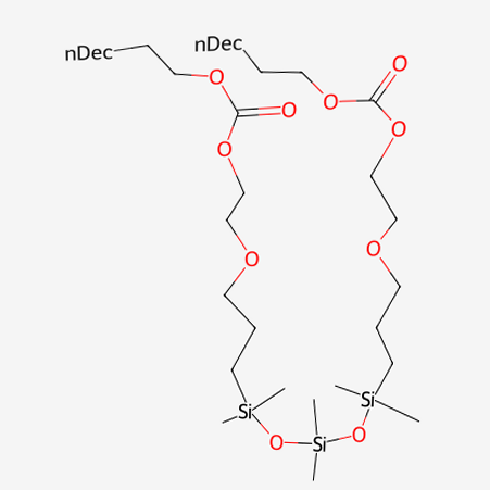 CCCCCCCCCCCCOC(=O)OCCOCCC[Si](C)(C)O[Si](C)(C)O[Si](C)(C)CCCOCCOC(=O)OCCCCCCCCCCCC